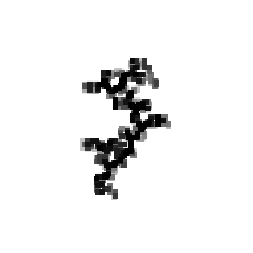 COC[C@H](COCC(=O)OC(C)OC(=O)NC[C@H](CC(=O)O)CC(C)C)ON(O)O